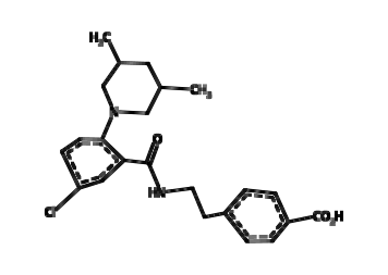 CC1CC(C)CN(c2ccc(Cl)cc2C(=O)NCCc2ccc(C(=O)O)cc2)C1